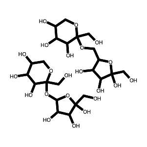 OCC1(O)OC(COC2(CO)OCC(O)C(O)C2O)C(O)C1O.OCC1(O)OC(OC2(CO)OCC(O)C(O)C2O)C(O)C1O